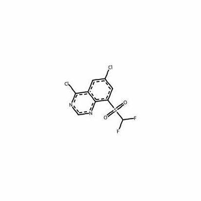 O=S(=O)(c1cc(Cl)cc2c(Cl)ncnc12)C(F)F